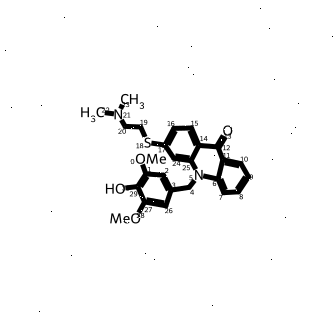 COc1cc(Cn2c3ccccc3c(=O)c3ccc(SCCN(C)C)cc32)cc(OC)c1O